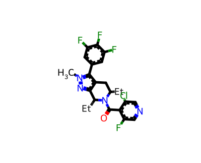 CCC1Cc2c(nn(C)c2-c2cc(F)c(F)c(F)c2)C(CC)N1C(=O)c1c(F)cncc1Cl